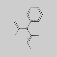 C=C(C)N(/C(C)=C/C)c1ccccc1